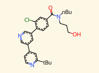 CCCCN(CCCO)C(=O)c1ccc(-c2cncc(-c3ccnc(C(C)(C)C)c3)c2)c(Cl)c1